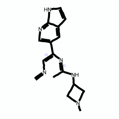 C=N/C=C(\N=C(/C)NC1CN(C)C1)c1cnc2[nH]ccc2c1